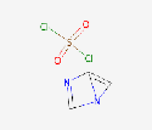 O=S(=O)(Cl)Cl.c1nc2cn1-2